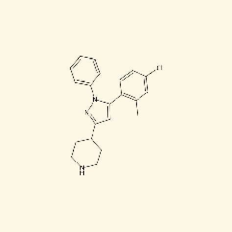 Cc1cc(Cl)ccc1-c1cc(C2CCNCC2)nn1-c1ccccc1